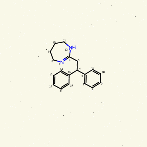 c1ccc(C(CC2=NCCCCN2)c2ccccc2)cc1